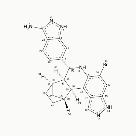 Nc1n[nH]c2cc([C@@H]3Nc4c(Br)cc5[nH]ncc5c4[C@H]4[C@@H]5CC[C@H](C5)[C@H]43)ccc12